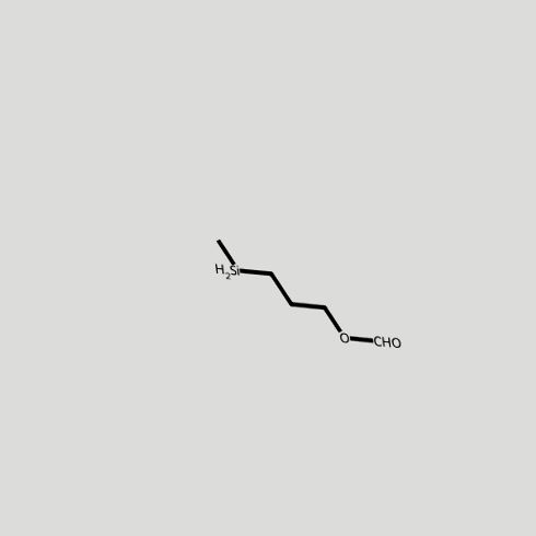 C[SiH2]CCCOC=O